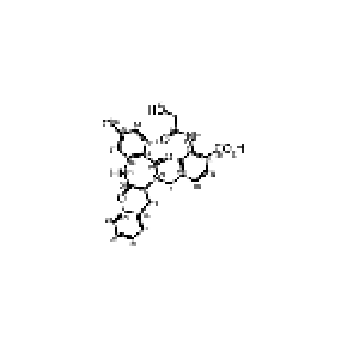 O=C(CO)Nc1cc(CN2C(=O)c3ccc(Cl)cc3NC(=O)C2Cc2ccccn2)ccc1C(=O)O